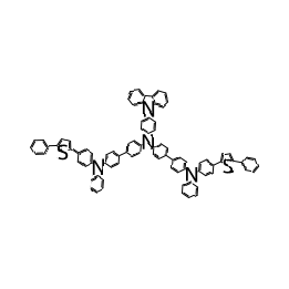 c1ccc(-c2ccc(-c3ccc(N(c4ccccc4)c4ccc(-c5ccc(N(c6ccc(-c7ccc(N(c8ccccc8)c8ccc(-c9ccc(-c%10ccccc%10)s9)cc8)cc7)cc6)c6ccc(-n7c8ccccc8c8ccccc87)cc6)cc5)cc4)cc3)s2)cc1